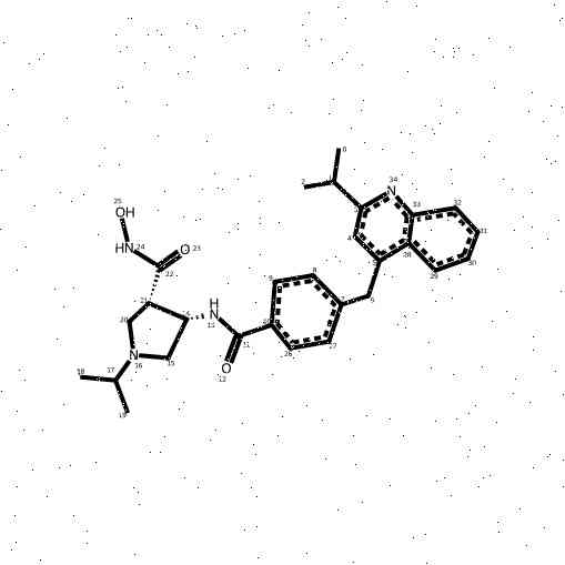 CC(C)c1cc(Cc2ccc(C(=O)N[C@@H]3CN(C(C)C)C[C@@H]3C(=O)NO)cc2)c2ccccc2n1